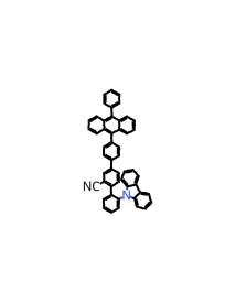 N#Cc1cc(-c2ccc(-c3c4ccccc4c(-c4ccccc4)c4ccccc34)cc2)ccc1-c1ccccc1-n1c2ccccc2c2ccccc21